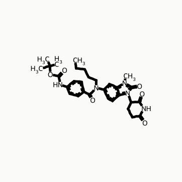 CCCCCN(C(=O)c1ccc(NC(=O)OC(C)(C)C)cc1)c1ccc2c(c1)n(C)c(=O)n2C1CCC(=O)NC1=O